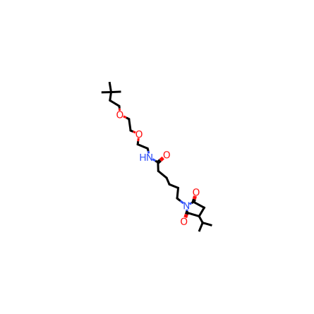 CC(C)C1CC(=O)N(CCCCCC(=O)NCCOCCOCCC(C)(C)C)C1=O